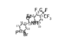 CCc1cc(C(F)(C(F)(F)F)C(F)(F)F)cc(C)c1NC(=O)c1ccc(F)c(Br)c1